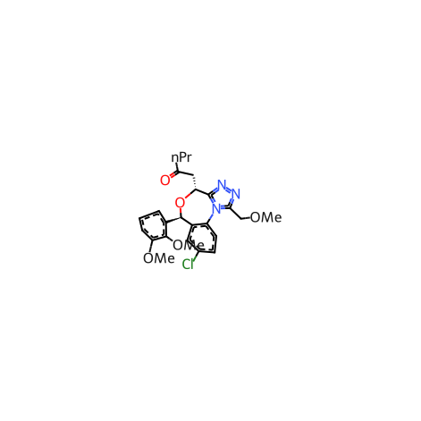 CCCC(=O)C[C@H]1O[C@H](c2cccc(OC)c2OC)c2cc(Cl)ccc2-n2c(COC)nnc21